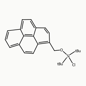 CC(C)(C)[Si](Cl)(OCc1ccc2ccc3cccc4ccc1c2c34)C(C)(C)C